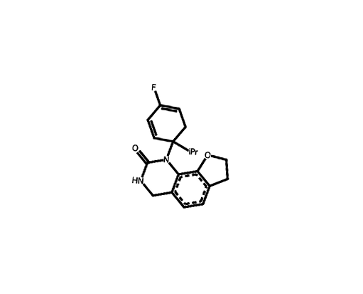 CC(C)C1(N2C(=O)NCc3ccc4c(c32)OCC4)C=CC(F)=CC1